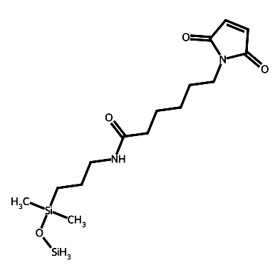 C[Si](C)(CCCNC(=O)CCCCCN1C(=O)C=CC1=O)O[SiH3]